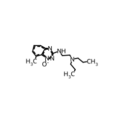 CCCN(CCC)CCNc1nc2cccc(C)c2[n+]([O-])n1